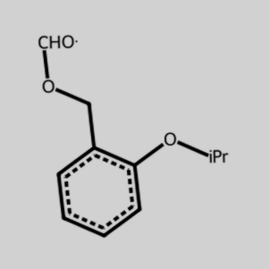 CC(C)Oc1ccccc1CO[C]=O